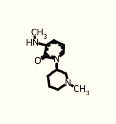 CNc1cccn(C2CCCN(C)C2)c1=O